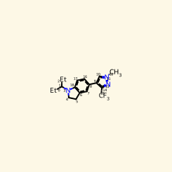 CCC(CC)N1CCc2cc(-c3cn(C)nc3C(F)(F)F)ccc21